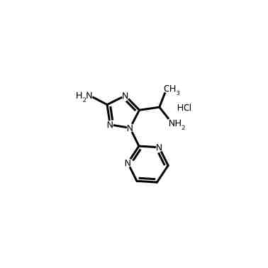 CC(N)c1nc(N)nn1-c1ncccn1.Cl